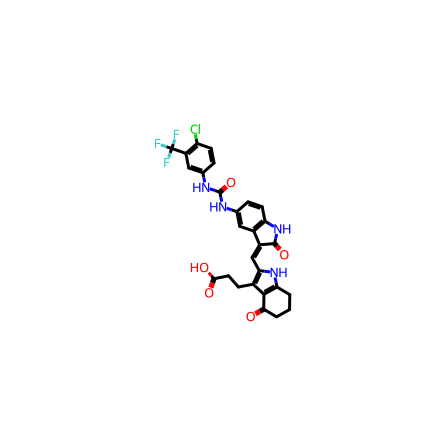 O=C(O)CCc1c(C=C2C(=O)Nc3ccc(NC(=O)Nc4ccc(Cl)c(C(F)(F)F)c4)cc32)[nH]c2c1C(=O)CCC2